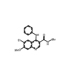 CCc1cc2c(Nc3ccccc3)c(C(=O)NC(C)(C)C)cnc2cc1OC